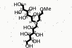 COCCCN(C[C@H](O)[C@@H](O)[C@H](O)[C@H](O)CO)C[C@H](O)[C@@H](O)[C@H](O)[C@H](O)CO